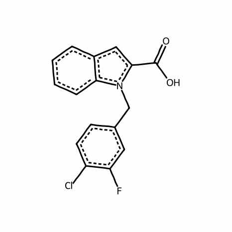 O=C(O)c1cc2ccccc2n1Cc1ccc(Cl)c(F)c1